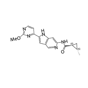 COc1nccc(-c2cc3cnc(NC(=O)[C@H]4C[C@@H]4C)cc3[nH]2)n1